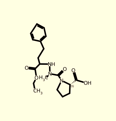 CCOC(=O)C(CCc1ccccc1)NN(C)C(=O)N1CCC[C@H]1C(=O)O